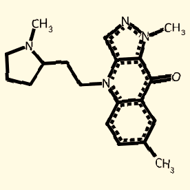 Cc1ccc2c(c1)c(=O)c1c(cnn1C)n2CCC1CCCN1C